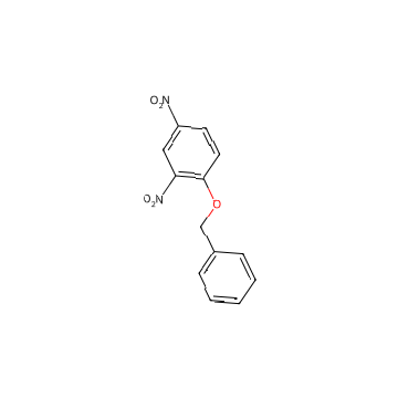 O=[N+]([O-])c1ccc(OCc2ccccc2)c([N+](=O)[O-])c1